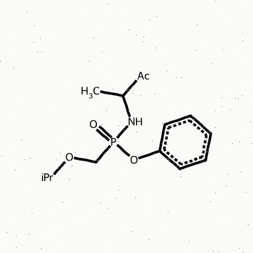 CC(=O)C(C)NP(=O)(COC(C)C)Oc1ccccc1